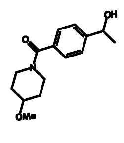 COC1CCN(C(=O)c2ccc(C(C)O)cc2)CC1